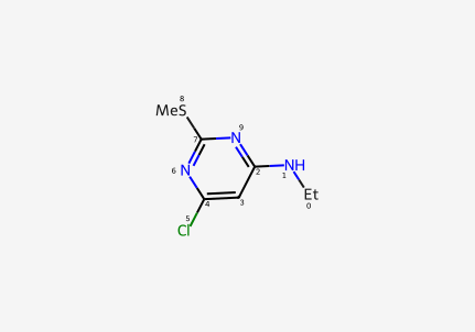 CCNc1cc(Cl)nc(SC)n1